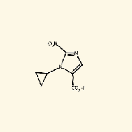 O=C(O)c1cnc([N+](=O)[O-])n1C1CC1